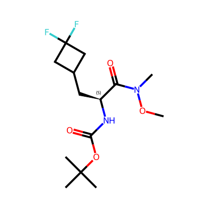 CON(C)C(=O)[C@H](CC1CC(F)(F)C1)NC(=O)OC(C)(C)C